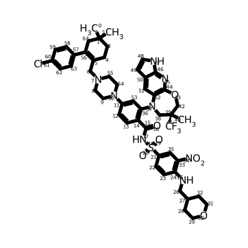 CC1(C)CCC(CN2CCN(c3ccc(C(=O)NS(=O)(=O)c4ccc(NCC5CCOCC5)c([N+](=O)[O-])c4)c(N4C[C@](C)(C(F)(F)F)COc5nc6[nH]ccc6cc54)c3)CC2)=C(c2ccc(Cl)cc2)C1